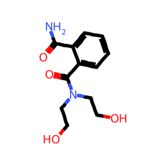 NC(=O)c1ccccc1C(=O)N(CCO)CCO